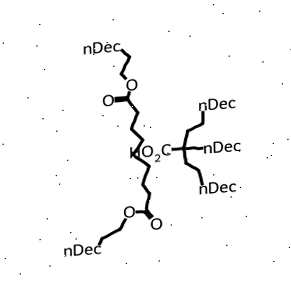 CCCCCCCCCCCCC(CCCCCCCCCC)(CCCCCCCCCCCC)C(=O)O.CCCCCCCCCCCCOC(=O)CCCCCCCC(=O)OCCCCCCCCCCCC